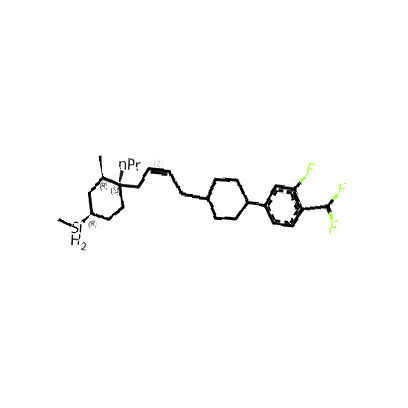 CCC[C@@]1(C/C=C\CC2CCC(c3ccc(C(F)F)c(F)c3)CC2)CC[C@@H]([SiH2]C)C[C@H]1C